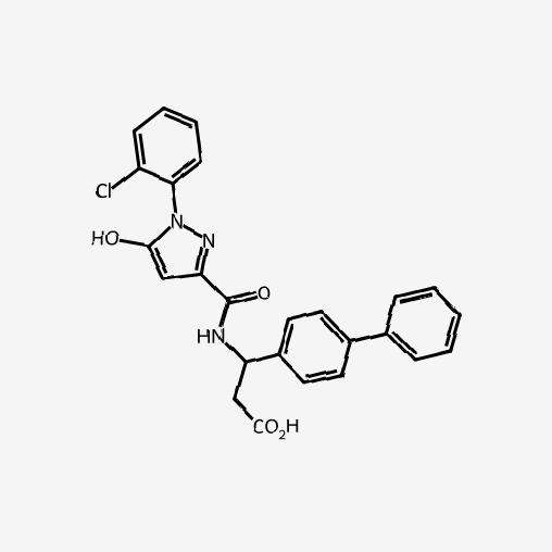 O=C(O)CC(NC(=O)c1cc(O)n(-c2ccccc2Cl)n1)c1ccc(-c2ccccc2)cc1